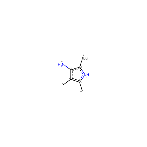 Cc1[nH]c(C(C)(C)C)c(N)c1C